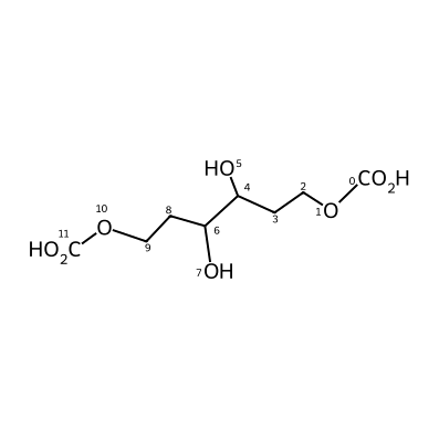 O=C(O)OCCC(O)C(O)CCOC(=O)O